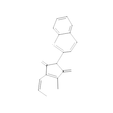 C/C=C\C1=C(C)C(=O)C(c2ccc3ccccc3n2)C1=O